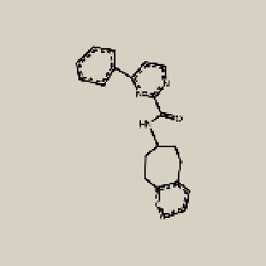 O=C(NC1CCc2ccccc2CC1)c1nccc(-c2ccccc2)n1